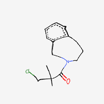 CC(C)(CCl)C(=O)N1CCCc2ccccc2C1